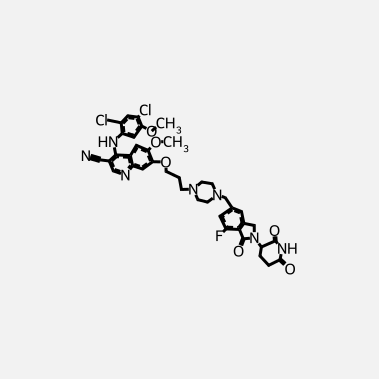 COc1cc(Nc2c(C#N)cnc3cc(OCCCN4CCN(Cc5cc(F)c6c(c5)CN(C5CCC(=O)NC5=O)C6=O)CC4)c(OC)cc23)c(Cl)cc1Cl